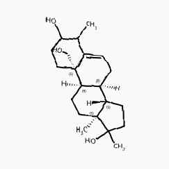 CC1C2=CC[C@@H]3[C@@H](CC[C@@]4(C)[C@H]3CCC4(C)O)[C@@]2(CO)CCC1O